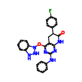 O=C1Nc2nc(Nc3ccccc3)nc(ON3NNc4ccccc43)c2CC1c1ccc(F)cc1